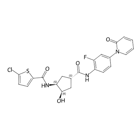 O=C(N[C@H]1C[C@H](C(=O)Nc2ccc(-n3ccccc3=O)cc2F)C[C@H]1O)c1ccc(Cl)s1